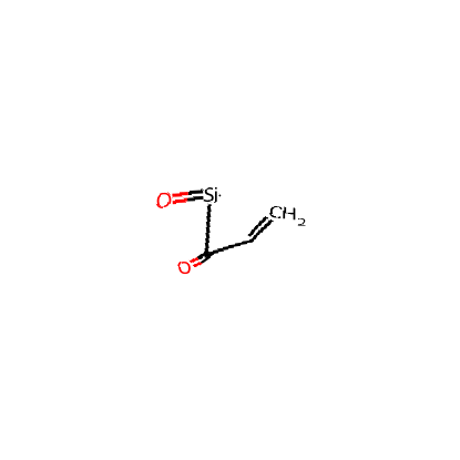 C=CC(=O)[Si]=O